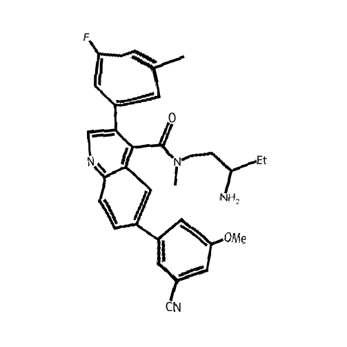 CCC(N)CN(C)C(=O)c1c(-c2cc(C)cc(F)c2)cnc2ccc(-c3cc(C#N)cc(OC)c3)cc12